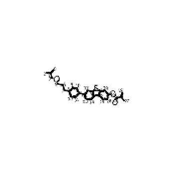 C=C(C)COCCCc1ccc(-c2ccc3c(c2)sc2cc(OC(=O)C(=C)C)ccc23)cc1